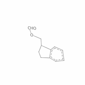 O=COCC1CCc2ccccc21